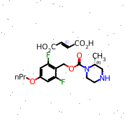 CCCOc1cc(F)c(COC(=O)N2CCNC[C@H]2C)c(F)c1.O=C(O)/C=C/C(=O)O